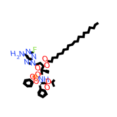 C#CC1(COP(=O)(N[C@@H](Cc2ccccc2)C(=O)OC(C)C)Oc2ccccc2)OC(n2cnc3c(N)nc(F)nc32)CC1OC(=O)CCCCCCCCCCCCCCCCCCC